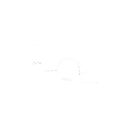 CC1(CO)C#CC=C(NC(=O)OC(C)(C)C)C=C1